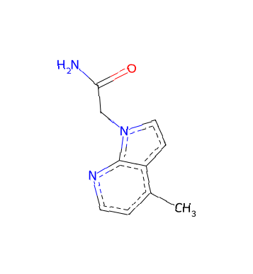 Cc1ccnc2c1ccn2CC(N)=O